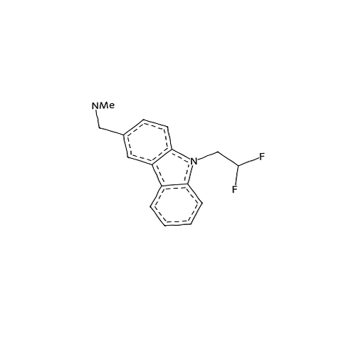 CNCc1ccc2c(c1)c1ccccc1n2CC(F)F